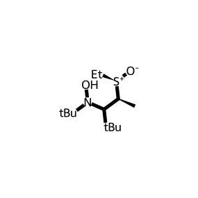 CC[S@@+]([O-])[C@@H](C)C(N(O)C(C)(C)C)C(C)(C)C